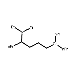 CCCC(CC[CH2][Ga]([CH2]CC)[CH2]CC)N(CC)CC